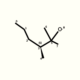 CCC[C@H](C)C(C)(C)[O]